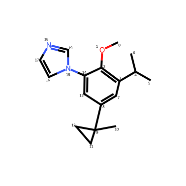 COc1c(C(C)C)cc(C2(C)CC2)cc1-n1ccnc1